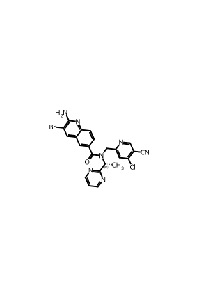 C[C@H](c1ncccn1)N(Cc1cc(Cl)c(C#N)cn1)C(=O)c1ccc2nc(N)c(Br)cc2c1